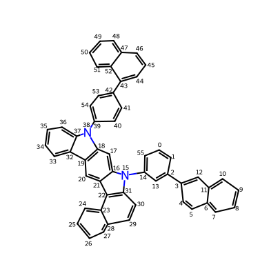 c1cc(-c2ccc3ccccc3c2)cc(-n2c3cc4c(cc3c3c5ccccc5ccc32)c2ccccc2n4-c2ccc(-c3cccc4ccccc34)cc2)c1